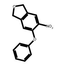 O=[N+]([O-])c1cc2c(cc1Oc1ccccc1)COC2